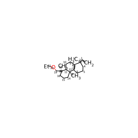 C=C[C@@]1(C)CCCC2=C1CCC1C2(C)CCC[C@@]1(C)COCC